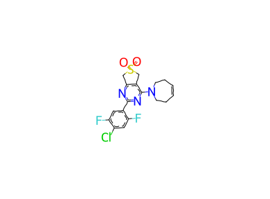 O=S1(=O)Cc2nc(-c3cc(F)c(Cl)cc3F)nc(N3CCC=CCC3)c2C1